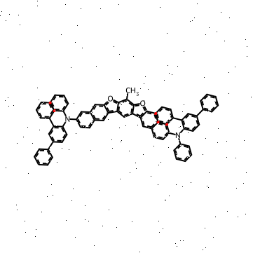 Cc1c2oc3cc4cc(N(c5ccccc5)c5ccc(-c6ccccc6)cc5-c5ccccc5)ccc4cc3c2cc2c1oc1cc3cc(N(c4ccccc4)c4ccc(-c5ccccc5)cc4-c4ccccc4)ccc3cc12